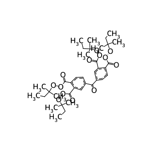 CCC(C)(C)OOC(=O)c1ccc(C(=O)c2ccc(C(=O)OOC(C)(C)CC)c(C(=O)OOC(C)(C)CC)c2)cc1C(=O)OOC(C)(C)CC